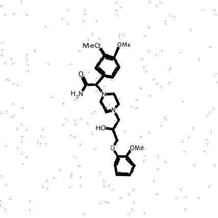 COc1ccc(C(C(N)=O)N2CCN(CC(O)COc3ccccc3OC)CC2)cc1OC